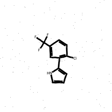 FC(F)(F)c1ccc(Cl)c(-c2cc[c][nH]2)c1